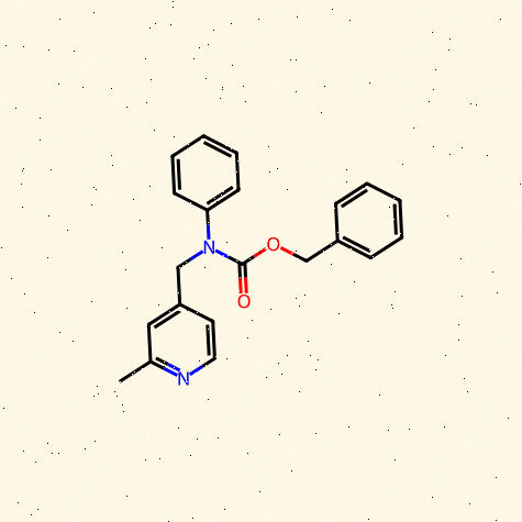 Cc1cc(CN(C(=O)OCc2ccccc2)c2ccccc2)ccn1